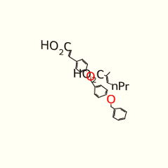 CCCC=C(C)C(=O)O.O=C(O)C=Cc1ccc(OCc2ccc(OCc3ccccc3)cc2)cc1